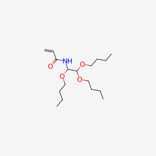 C=CC(=O)NC(OCCCC)C(OCCCC)OCCCC